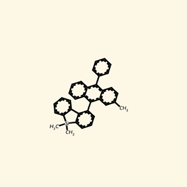 Cc1ccc2c(-c3ccccc3)c3ccccc3c(-c3cccc4c3-c3ccccc3[Si]4(C)C)c2c1